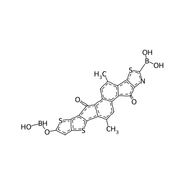 Cc1cc2c(cc(C)c3c4sc5cc(OBO)sc5c4c(=O)c23)c2c(=O)c3nc(B(O)O)sc3c12